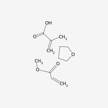 C1CCOC1.C=C(C)C(=O)O.C=CC(=O)OC